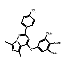 COc1cc(Oc2nc(-c3ccc([N+](=O)[O-])cc3)nn3c(C)nc(C)c23)cc(OC)c1OC